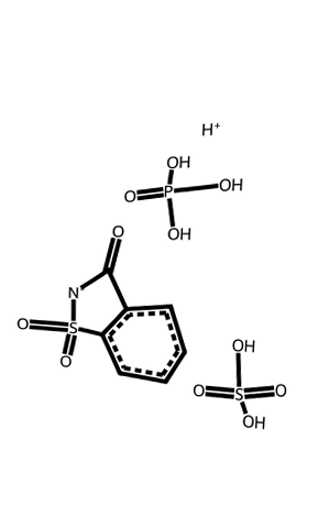 O=C1[N-]S(=O)(=O)c2ccccc21.O=P(O)(O)O.O=S(=O)(O)O.[H+]